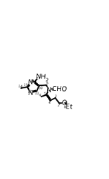 CCOCC/C=C(/C)N(C=O)Cc1cnc(C)nc1N